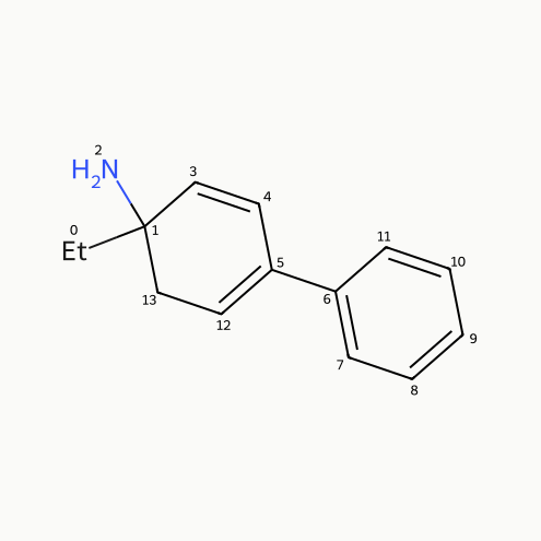 CCC1(N)C=CC(c2ccccc2)=CC1